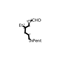 CCCCCCCCC(CC)CO[C]=O